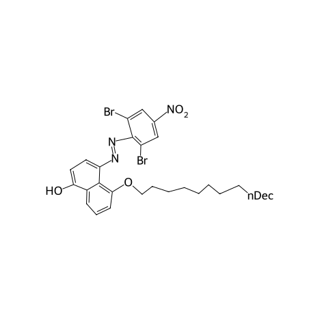 CCCCCCCCCCCCCCCCCCOc1cccc2c(O)ccc(/N=N/c3c(Br)cc([N+](=O)[O-])cc3Br)c12